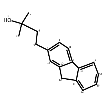 CC(C)(O)CCc1ccc2c(c1)Cc1ccccc1-2